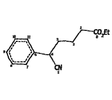 CCOC(=O)CCCC(C#N)c1ccccc1